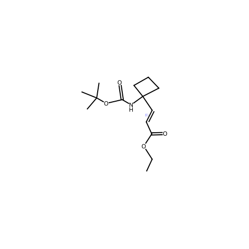 CCOC(=O)/C=C/C1(NC(=O)OC(C)(C)C)CCC1